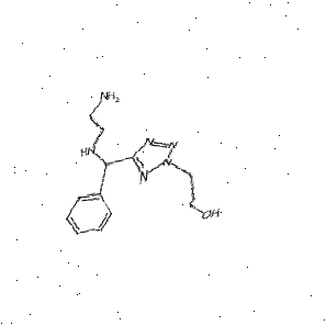 NCCNC(c1ccccc1)c1nnn(CCO)n1